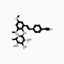 COc1cc(/C=C/c2ccc(C#N)cc2)c(O[C@@H]2OC(C)[C@@H](O)C(O)[C@H]2O)c(OC)c1